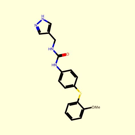 COc1ccccc1Sc1ccc(NC(=O)NCc2cn[nH]c2)cc1